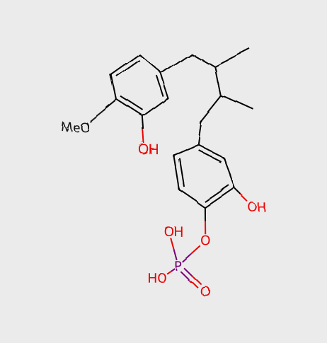 COc1ccc(CC(C)C(C)Cc2ccc(OP(=O)(O)O)c(O)c2)cc1O